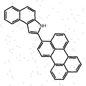 c1ccc2c(c1)ccc1[nH]c(-c3ccc4c5cccc6cccc(c7cccc3c74)c65)cc12